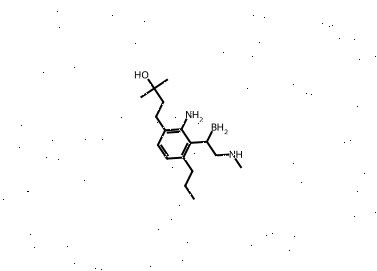 BC(CNC)c1c(CCC)ccc(CCC(C)(C)O)c1N